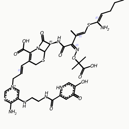 CCC/C=C(\N)S/C=C(C)/C(=N/OC(C)(C)C(=O)O)C(=O)N[C@@H]1C(=O)N2C(C(=O)O)=C(/C=C/C[n+]3cnc(N)c(NCCNC(=O)c4cc(=O)c(O)c[nH]4)c3)CSC12